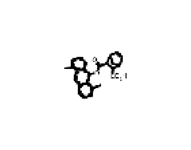 Cc1cccc2c(OC(=O)C3C4C=CC(C4)C3C(=O)O)c3c(C)cccc3cc12